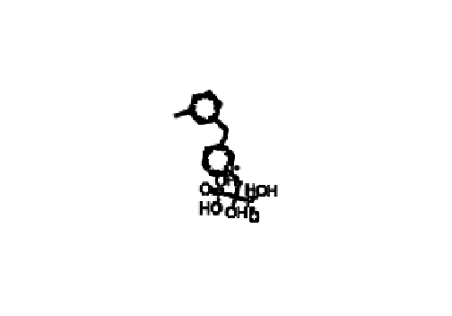 Cc1cccc(Cc2ccc[n+](CC(O)([PH](=O)O)P(=O)(O)O)c2)c1